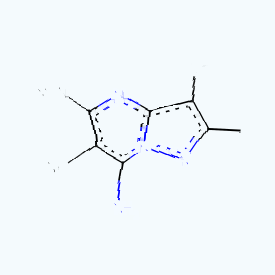 CNc1nc2c(C(F)(F)F)c(C)nn2c(N)c1C#N